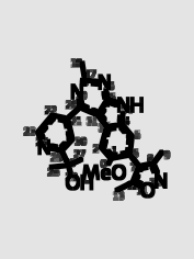 COc1cc2c(cc1-c1c(C)noc1C)[nH]c1nc(C)nc(-c3ccnc(C(C)(C)O)c3)c12